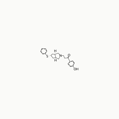 O=C(CCN1C[C@H]2C[C@H](Sc3ccccc3)C[C@H]2C1)c1ccc(O)cc1